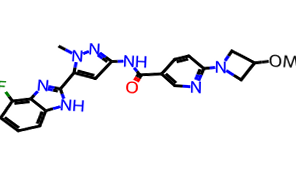 COC1CN(c2ccc(C(=O)Nc3cc(-c4nc5c(F)cccc5[nH]4)n(C)n3)cn2)C1